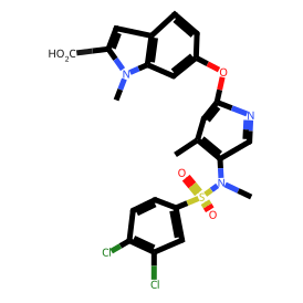 Cc1cc(Oc2ccc3cc(C(=O)O)n(C)c3c2)ncc1N(C)S(=O)(=O)c1ccc(Cl)c(Cl)c1